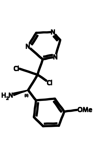 COc1cccc([C@@H](N)C(Cl)(Cl)c2ncncn2)c1